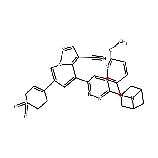 COc1ccc(CN2C3CC2CN(c2ncc(-c4cc(C5=CCS(=O)(=O)CC5)cn5ncc(C#N)c45)nn2)C3)cn1